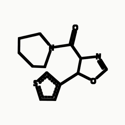 O=C(C1N=COC1c1ccsc1)N1CCCCC1